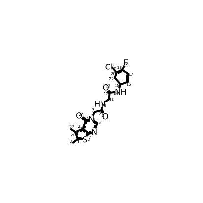 Cc1sc2ncn(CC(=O)NCC(=O)NC3C=CC(F)=C(Cl)C3)c(=O)c2c1C